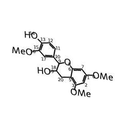 COc1cc(OC)c2c(c1)OC(c1ccc(O)c(OC)c1)C(O)C2